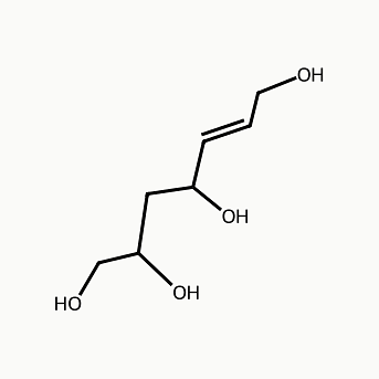 OCC=CC(O)CC(O)CO